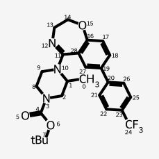 CC1CN(C(=O)OC(C)(C)C)CCN1C1=NCCOc2ccc(-c3ccc(C(F)(F)F)cc3)cc21